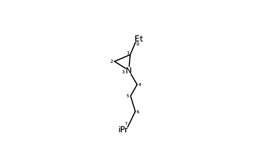 CCC1CN1CCCC(C)C